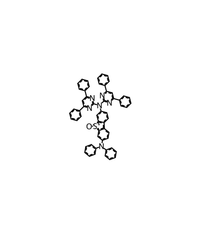 [O-][s+]1c2cc(N(c3ccccc3)c3ccccc3)ccc2c2ccc(N(c3nc(-c4ccccc4)cc(-c4ccccc4)n3)c3nc(-c4ccccc4)cc(-c4ccccc4)n3)cc21